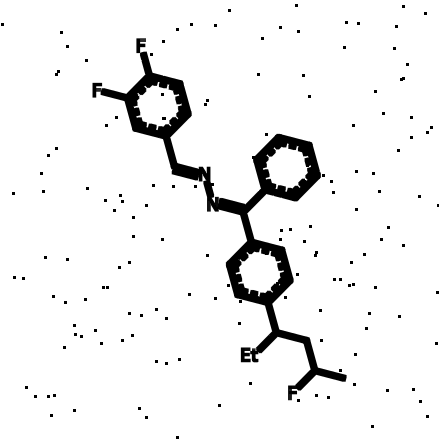 CCC(CC(C)F)c1ccc(C(=NN=Cc2ccc(F)c(F)c2)c2ccccc2)cc1